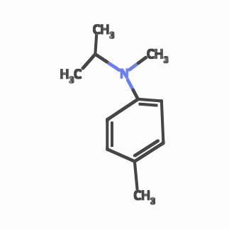 Cc1ccc(N(C)C(C)C)cc1